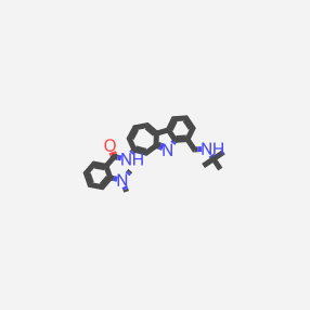 CN(C)c1ccccc1C(=O)Nc1cccc2c3cccc(CNC(C)(C)C)c3nc-2c1